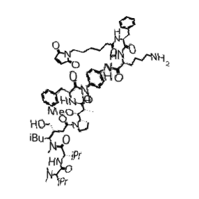 CC[C@H](C)[C@@H]([C@H](CO)CC(=O)N1CCC[C@H]1[C@H](OC)[C@@H](C)C(=O)N[C@@H](Cc1ccccc1)C(=O)Nc1ccc(NC(=O)[C@H](CCCCN)NC(=O)[C@H](Cc2ccccc2)NC(=O)CCCCCN2C(=O)C=CC2=O)cc1)N(C)C(=O)[C@@H](NC(=O)C(C(C)C)N(C)C)C(C)C